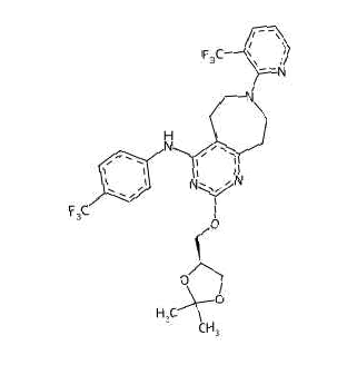 CC1(C)OC[C@H](COc2nc3c(c(Nc4ccc(C(F)(F)F)cc4)n2)CCN(c2ncccc2C(F)(F)F)CC3)O1